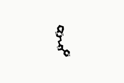 c1ccc2nc(CCc3cc(-c4ccncc4)cs3)cnc2c1